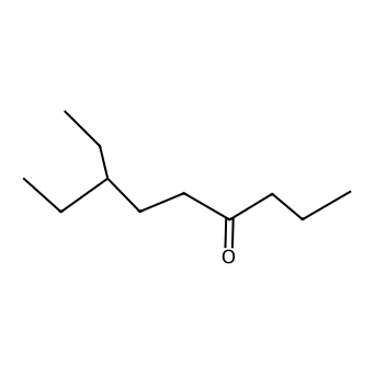 CCCC(=O)CCC(CC)CC